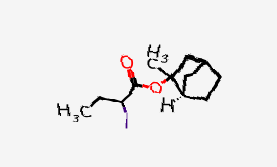 CCC(I)C(=O)OC1(C)CC2CC[C@@H]1C2